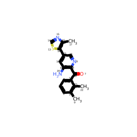 Cc1cccc(C(=O)c2ncc(-c3scnc3C)cc2N)c1C